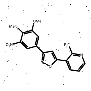 COc1cc(-c2cc(-c3cccnc3C(F)(F)F)on2)cc([N+](=O)[O-])c1OC